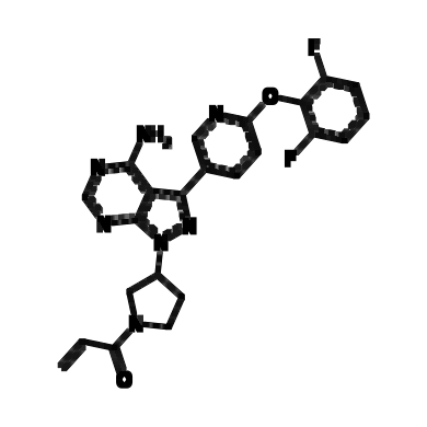 C=CC(=O)N1CCC(n2nc(-c3ccc(Oc4c(F)cccc4F)nc3)c3c(N)ncnc32)C1